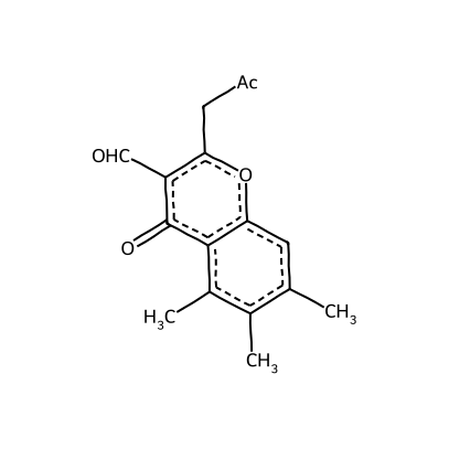 CC(=O)Cc1oc2cc(C)c(C)c(C)c2c(=O)c1C=O